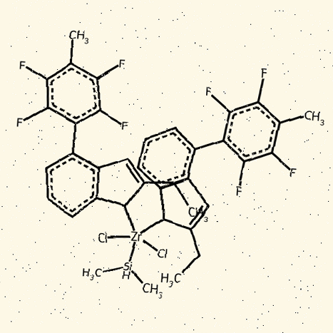 CCC1=Cc2c(-c3c(F)c(F)c(C)c(F)c3F)cccc2[CH]1[Zr]([Cl])([Cl])([CH]1C(CC)=Cc2c(-c3c(F)c(F)c(C)c(F)c3F)cccc21)[SiH](C)C